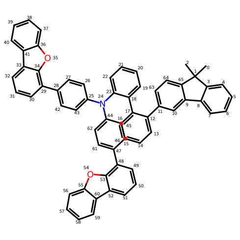 CC1(C)c2ccccc2-c2cc(-c3ccccc3-c3ccccc3N(c3ccc(-c4cccc5c4oc4ccccc45)cc3)c3ccc(-c4cccc5c4oc4ccccc45)cc3)ccc21